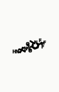 Cc1nc(C(F)(F)F)ccc1S(=O)(=O)N1CC2(CNC2)C1